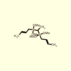 CC=CC[Si](OC)(OC)C(C)[Si](CC=CC)(OC)OC